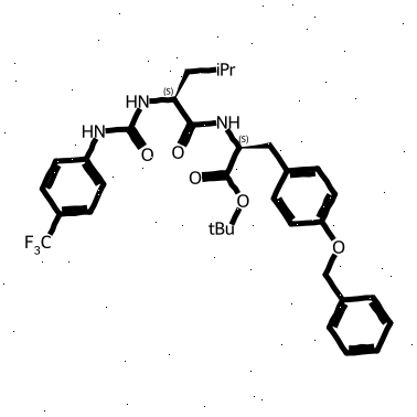 CC(C)C[C@H](NC(=O)Nc1ccc(C(F)(F)F)cc1)C(=O)N[C@@H](Cc1ccc(OCc2ccccc2)cc1)C(=O)OC(C)(C)C